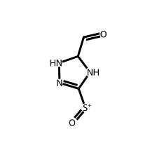 O=CC1NN=C([S+]=O)N1